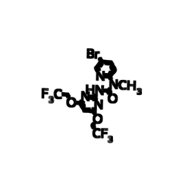 CN(C(=O)Nc1nc(OCC(F)(F)F)cc(OCC(F)(F)F)n1)c1ccc(Br)cn1